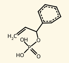 C=CC(OP(=O)(O)O)c1ccccc1